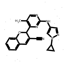 Cc1cnc(Nc2cnn(C3CC3)c2)nc1C1Oc2ccccc2C=C1C#N